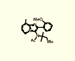 COc1ccccc1-c1nc2c(C)cccn2c1N(C(C)=O)C(C)(C)CC(C)(C)C